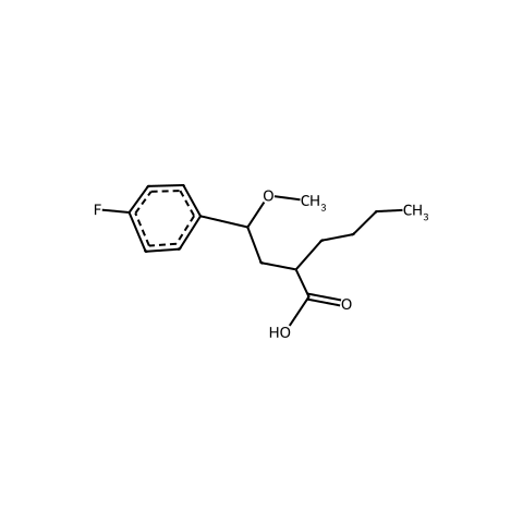 CCCCC(CC(OC)c1ccc(F)cc1)C(=O)O